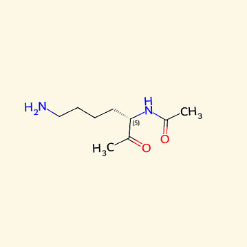 CC(=O)N[C@@H](CCCCN)C(C)=O